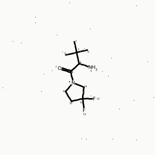 CC(C)(C)C(N)C(=O)N1CCC(F)(F)C1